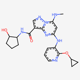 CNc1cc(Nc2cccnc2OC2CC2)nc2c(C(=O)NC3CCCC3O)cnn12